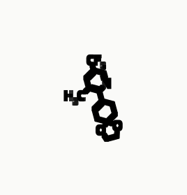 Cc1cc(C(F)(F)F)cnc1C1=CCC2(CC1)OCCO2